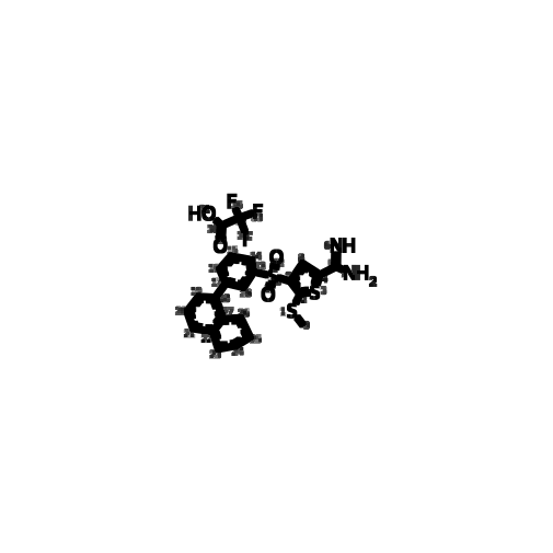 CSc1sc(C(=N)N)cc1S(=O)(=O)c1cccc(-c2cccc3ccccc23)c1.O=C(O)C(F)(F)F